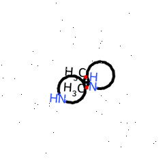 CCC1(C2(CC)CCCCCCCCCCCCCN2)CCCCCCCNCCCCCC1